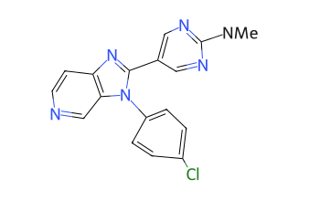 CNc1ncc(-c2nc3ccncc3n2-c2ccc(Cl)cc2)cn1